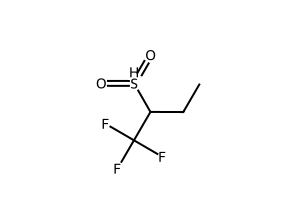 CCC([SH](=O)=O)C(F)(F)F